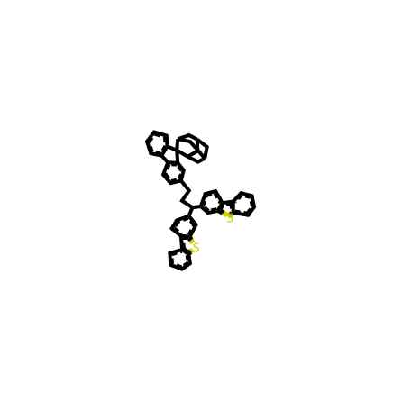 c1ccc2c(c1)-c1ccc(CCC(c3ccc4c(c3)sc3ccccc34)c3ccc4c(c3)sc3ccccc34)cc1C21C2CC3CC(C2)CC1C3